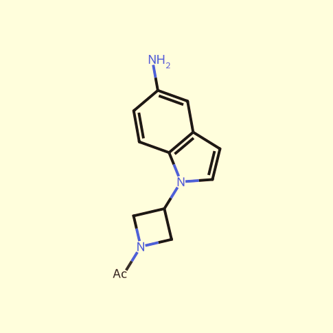 CC(=O)N1CC(n2ccc3cc(N)ccc32)C1